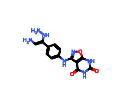 N/C=C(\NN)c1ccc(Nc2noc3[nH]c(=O)[nH]c(=O)c23)cc1